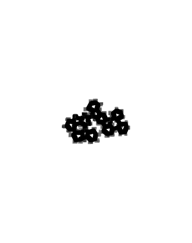 c1ccc2c(c1)-c1ccccc1-n1c3cc4c5ccccc5n(-c5nc(-n6c7ccccc7c7ccccc76)c6c(n5)oc5ccccc56)c4cc3c3cccc-2c31